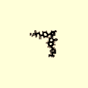 Cn1cc(C2CCC(NCC(F)(F)C(F)(F)F)CC2)c(N2Cc3ccc(-c4nnc(C(F)F)o4)cc3C2=O)n1